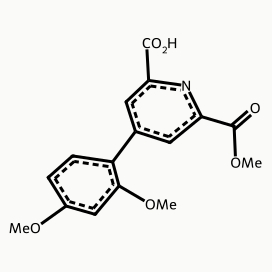 COC(=O)c1cc(-c2ccc(OC)cc2OC)cc(C(=O)O)n1